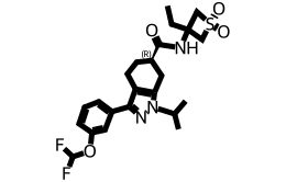 CCC1(NC(=O)[C@@H]2CCc3c(-c4cccc(OC(F)F)c4)nn(C(C)C)c3C2)CS(=O)(=O)C1